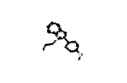 CCCn1c(-c2ccc(OC)cc2)cc2ccccc21